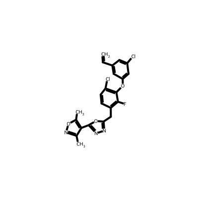 C=Cc1cc(Cl)cc(Oc2c(Cl)ccc(Cc3nnc(-c4c(C)noc4C)o3)c2F)c1